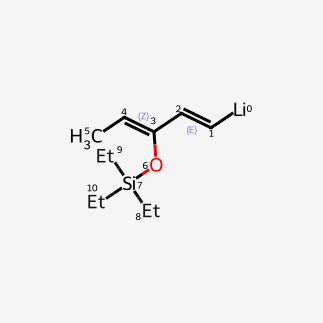 [Li]/[CH]=C/C(=C/C)O[Si](CC)(CC)CC